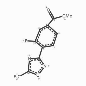 COC(=O)c1ccc(-c2noc(C(F)(F)F)n2)c(F)c1